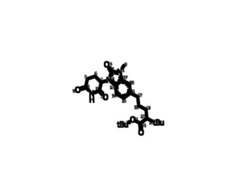 Cn1c(=O)n(C2CCC(=O)NC2=O)c2ccc(CCCC(C(=O)OC(C)(C)C)C(C)(C)C)cc21